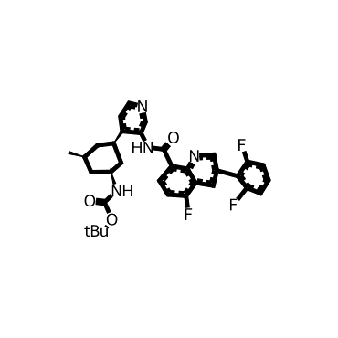 C[C@@H]1C[C@H](NC(=O)OC(C)(C)C)C[C@H](c2ccncc2NC(=O)c2ccc(F)c3cc(-c4c(F)cccc4F)cnc23)C1